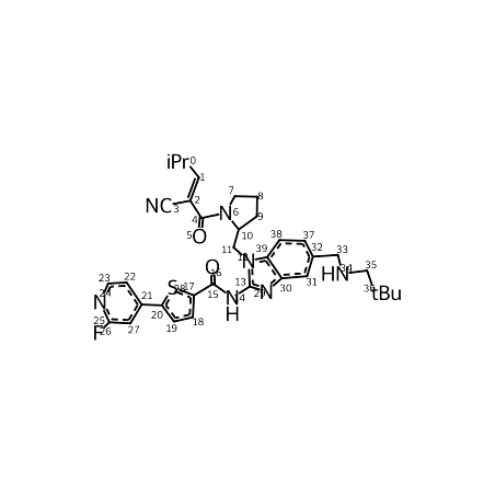 CC(C)C=C(C#N)C(=O)N1CCCC1Cn1c(NC(=O)c2ccc(-c3ccnc(F)c3)s2)nc2cc(CNCC(C)(C)C)ccc21